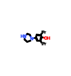 CC(C)c1cc(N2CCCNCC2)cc(C(C)C)c1O